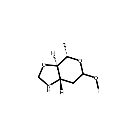 C[C@@H]1OC(OI)C[C@@H]2NCO[C@H]21